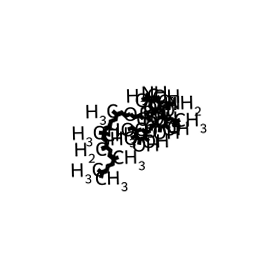 C=C(C/C=C(\C)CCC=C(C)C)CCC(C)(C)/C=C/CC/C(C)=C\COCCOP(=O)(O)OC1OC(C(N)=O)C(C)(O)C(OC(N)=O)C1OC1OC(COC2OC(CO)C(O)C(O)C2O)C(O)C(O)C1NC(C)=O